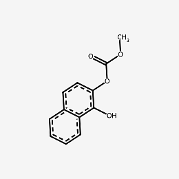 COC(=O)Oc1ccc2ccccc2c1O